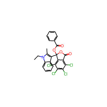 CCn1c(C)c(C2(OC(=O)c3ccccc3)OC(=O)c3c(Cl)c(Cl)c(Cl)c(Cl)c32)c2ccccc21